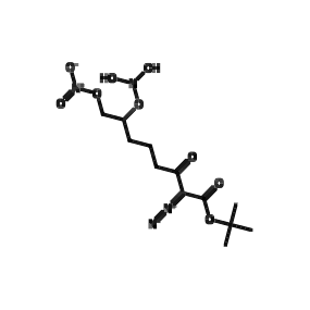 CC(C)(C)OC(=O)C(=[N+]=[N-])C(=O)CCCC(CO[N+](=O)[O-])ON(O)O